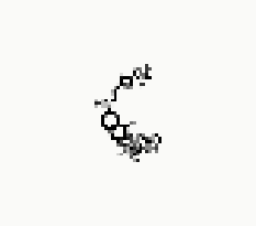 O=C1CN(c2c(O)cc3c(c2F)CC(NCCC2CC(OC(F)(F)F)C2)CC3)S(=O)(=O)N1